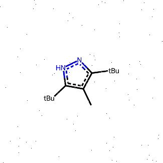 Cc1c(C(C)(C)C)n[nH]c1C(C)(C)C